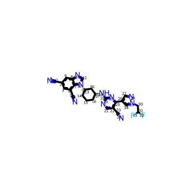 N#Cc1cc(C#N)c2c(c1)ncn2[C@H]1CCC[C@@H](Nc2ncc(C#N)c(-c3cnn(CC(F)F)c3)n2)C1